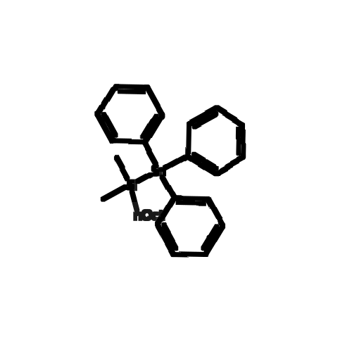 CCCCCCCC[Si](C)(C)[Sn]([c]1ccccc1)([c]1ccccc1)[c]1ccccc1